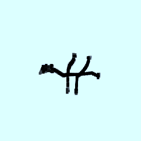 CSC(F)(F)C(F)(F)F